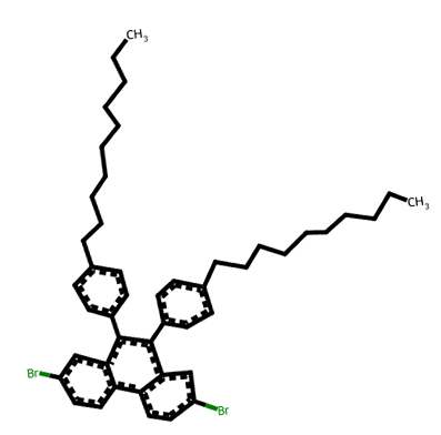 CCCCCCCCCCc1ccc(-c2c(-c3ccc(CCCCCCCCCC)cc3)c3cc(Br)ccc3c3ccc(Br)cc23)cc1